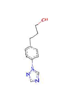 OCCCc1ccc(-n2cncn2)cc1